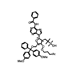 COc1ccc(C(OC[C@H]2O[C@@H](n3cnc4c(NC(=O)c5ccccc5)ncnc43)[C@@H](CC(C)(C)[Si](C)(C)O)C2OOCCCC(C)=O)(c2ccccc2)c2ccc(OC)cc2)cc1